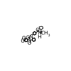 C[C@H](NC(=O)c1ccc(CN2C(=O)C3(COc4cc5c(cc43)OCO5)c3ccccc32)cc1)C1CCCCC1